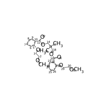 COCCOc1ccccc1C(=O)OCC(C)(C)COC(=O)c1ccccc1OCCOC